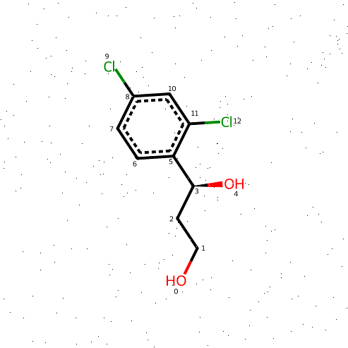 OCC[C@H](O)c1ccc(Cl)cc1Cl